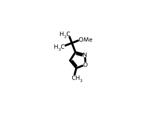 COC(C)(C)c1cc(C)on1